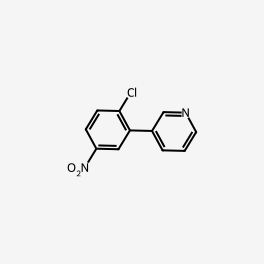 O=[N+]([O-])c1ccc(Cl)c(-c2cccnc2)c1